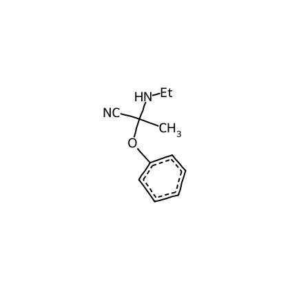 CCNC(C)(C#N)Oc1ccccc1